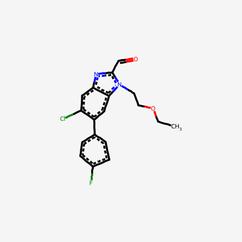 CCOCCn1c(C=O)nc2cc(Cl)c(-c3ccc(F)cc3)cc21